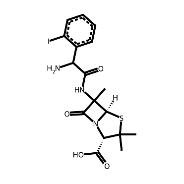 CC1(C)S[C@H]2N(C(=O)C2(C)NC(=O)C(N)c2ccccc2I)[C@H]1C(=O)O